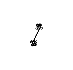 O=C1c2cccc3cccc(c23)C(=O)N1CCCCCCCCCCCCN1C(=O)c2cccc3cccc(c23)C1=O